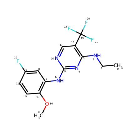 CCNc1nc(Nc2cc(F)[c]cc2OC)ncc1C(F)(F)F